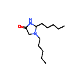 CCCCCC1NC(=O)CN1CCCCC